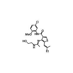 CC/C(C)=C/c1scc(C(=O)Nc2cc(Cl)ccc2OC)c1/N=C(\C)NCCO